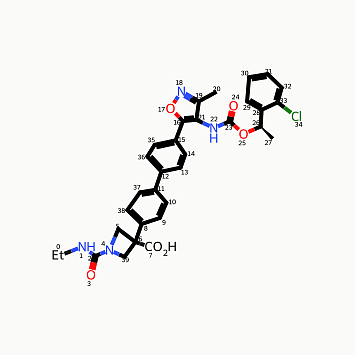 CCNC(=O)N1CC(C(=O)O)(c2ccc(-c3ccc(-c4onc(C)c4NC(=O)O[C@H](C)c4ccccc4Cl)cc3)cc2)C1